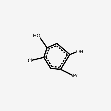 CC(C)c1cc(Cl)c(O)cc1O